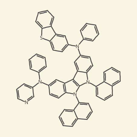 c1ccc(N(c2cccnc2)c2ccc3c(c2)c2c4cc(N(c5ccccc5)c5ccc6sc7ccccc7c6c5)ccc4n(-c4cccc5ccccc45)c2n3-c2cccc3ccccc23)cc1